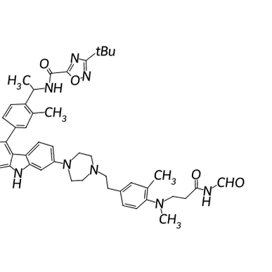 Cc1cc(-c2ncnc3[nH]c4cc(N5CCN(CCc6ccc(N(C)CCC(=O)NC=O)c(C)c6)CC5)ccc4c23)ccc1C(C)NC(=O)c1nc(C(C)(C)C)no1